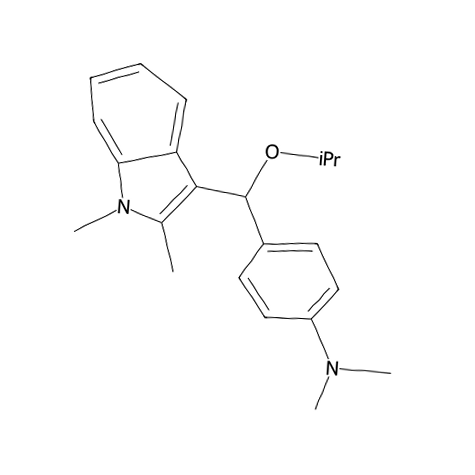 Cc1c(C(OC(C)C)c2ccc(N(C)C)cc2)c2ccccc2n1C